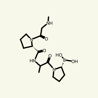 CNCC(=O)N1CCC[C@H]1C(=O)NC(C)C(=O)N1CCC[C@H]1B(O)O